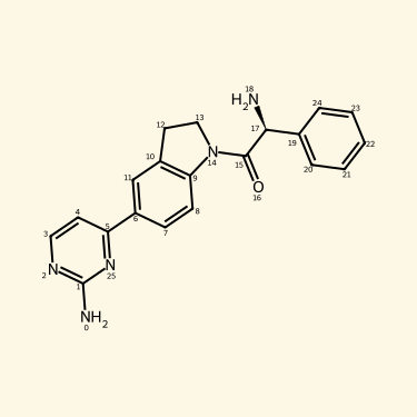 Nc1nccc(-c2ccc3c(c2)CCN3C(=O)[C@@H](N)c2ccccc2)n1